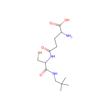 CC(C)(C)CNC(=O)C(CS)NC(=O)CCC(N)C(=O)O